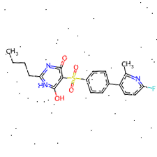 CCCCc1nc(=O)c(S(=O)(=O)c2ccc(-c3ccc(F)nc3C)cc2)c(O)[nH]1